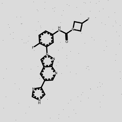 O=C(Nc1ccc(F)c(-n2cc3cc(-c4c[nH]cn4)cnc3n2)c1)N1CC(F)C1